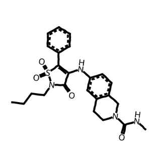 CCCCN1C(=O)C(Nc2ccc3c(c2)CCN(C(=O)NC)C3)=C(c2ccccc2)S1(=O)=O